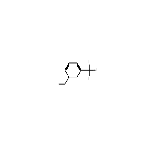 NCC1C=CC=C(C(F)(F)F)C1